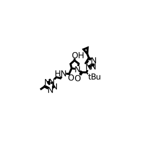 Cc1nnn(CCNC(=O)C2CC(O)CN2C(=O)[C@@H](n2cc(C3CC3)nn2)C(C)(C)C)n1